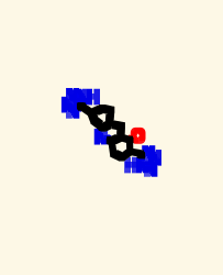 O=C1c2cc3ccc(-c4nnn[nH]4)cc3nc2C=CC1c1nnn[nH]1